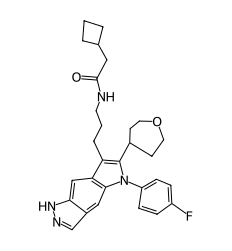 O=C(CC1CCC1)NCCCc1c(C2CCOCC2)n(-c2ccc(F)cc2)c2cc3cn[nH]c3cc12